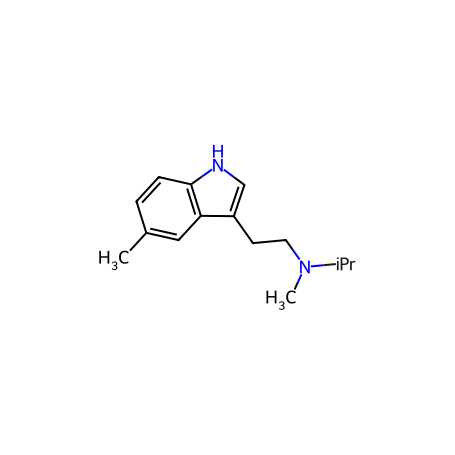 Cc1ccc2[nH]cc(CCN(C)C(C)C)c2c1